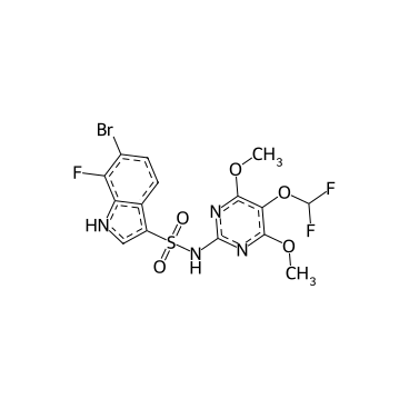 COc1nc(NS(=O)(=O)c2c[nH]c3c(F)c(Br)ccc23)nc(OC)c1OC(F)F